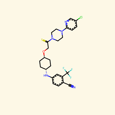 N#Cc1ccc(N[C@H]2CC[C@H](OCC(=S)N3CCN(c4ccc(Cl)cn4)CC3)CC2)cc1C(F)(F)F